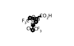 O=C(O)CCC1CN(S(=O)(=O)c2cccc(C(F)(F)F)c2)c2cc(-n3cc(-c4c(Cl)cccc4C(F)(F)F)cn3)ccc2O1